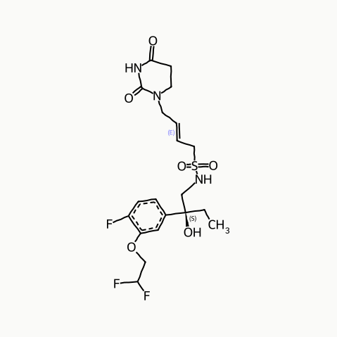 CC[C@@](O)(CNS(=O)(=O)C/C=C/CN1CCC(=O)NC1=O)c1ccc(F)c(OCC(F)F)c1